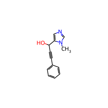 Cn1cncc1C(O)C#Cc1ccccc1